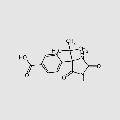 CC(C)(C)C1(c2ccc(C(=O)O)cc2)NC(=O)NC1=O